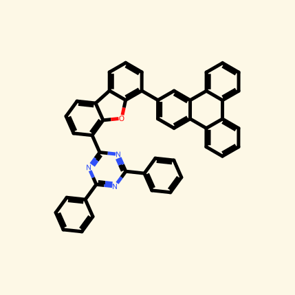 c1ccc(-c2nc(-c3ccccc3)nc(-c3cccc4c3oc3c(-c5ccc6c7ccccc7c7ccccc7c6c5)cccc34)n2)cc1